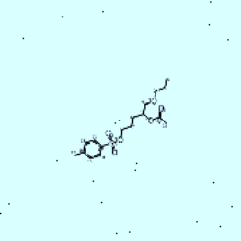 CCCOCC(CCCOS(=O)(=O)c1ccc(C)cc1)OC(C)=O